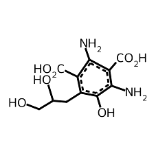 Nc1c(O)c(CC(O)CO)c(C(=O)O)c(N)c1C(=O)O